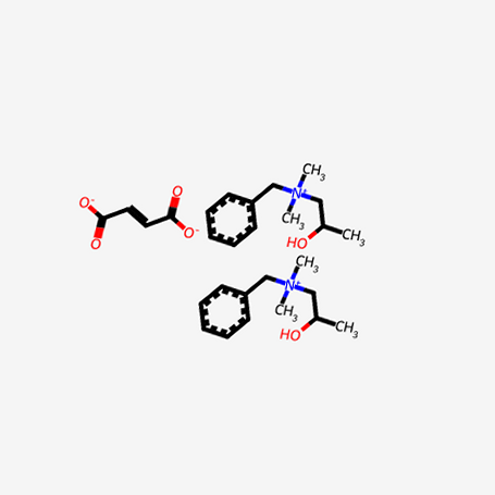 CC(O)C[N+](C)(C)Cc1ccccc1.CC(O)C[N+](C)(C)Cc1ccccc1.O=C([O-])/C=C/C(=O)[O-]